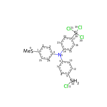 CSc1ccc(N(c2ccc([SiH2]Cl)cc2)c2ccc([Si](Cl)(Cl)Cl)cc2)cc1